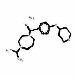 CC(C)N1CCCN(C(=O)c2ccc(OC3CCOCC3)cc2)CC1.Cl